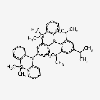 CC(C)c1cc(C(C)C)c(B2c3ccccc3[Si](C)(C)c3cc(N4c5ccccc5[Si](C)(C)c5ccccc54)ccc32)c(C(C)C)c1